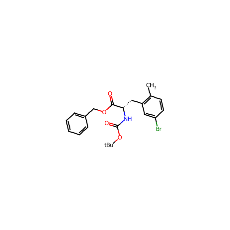 Cc1ccc(Br)cc1C[C@H](NC(=O)OC(C)(C)C)C(=O)OCc1ccccc1